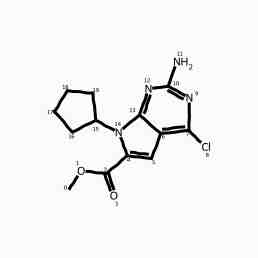 COC(=O)c1cc2c(Cl)nc(N)nc2n1C1CCCC1